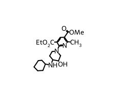 CCOC(=O)c1cc(C(=O)OC)c(C)nc1N1CCC(NC2CCCCC2)C(O)C1